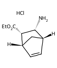 CCOC(=O)[C@@H]1[C@H](N)[C@@H]2C=C[C@H]1C2.Cl